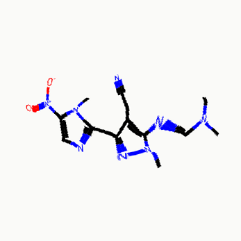 CN(C)C=Nc1c(C#N)c(-c2ncc([N+](=O)[O-])n2C)nn1C